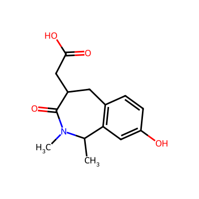 CC1c2cc(O)ccc2CC(CC(=O)O)C(=O)N1C